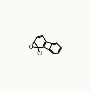 ClC12OC1C=CC1=C2c2ccccc21